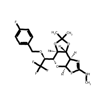 CNC1=N[C@@H]2[C@H]3OC(C)(C)O[C@@H]3[C@@H]([C@H](OCc3ccc(F)cc3)C(F)(F)F)O[C@@H]2S1